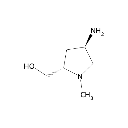 CN1C[C@H](N)C[C@H]1CO